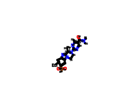 CCc1cc2nc3n(c2cc1S(C)(=O)=O)CCN(c1ncc(C(=O)N(C)C)c(C)n1)[C@@H]3C(C)C